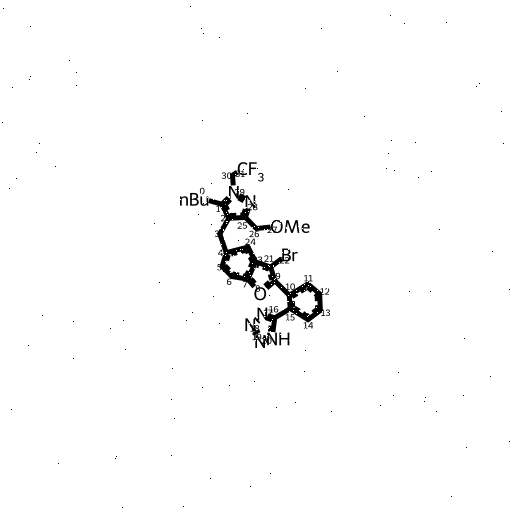 CCCCc1c(Cc2ccc3oc(-c4ccccc4-c4nnn[nH]4)c(Br)c3c2)c(COC)nn1CC(F)(F)F